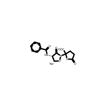 O=C1CCC(C(=O)[O-])(N2OC[C@H](NC(=O)c3ccccc3)C2=O)O1.[Na+]